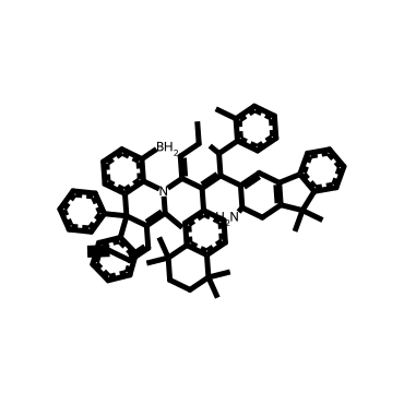 Bc1cccc2c1N(C(=C/CC)/C(=C(/C1=CC3=C(CC1N)C(C)(C)c1ccccc13)C(C)c1ccccc1C)c1ccc3c(c1)C(C)(C)CCC3(C)C)C(C)=C(/C=C\C#C)C2(c1ccccc1)c1ccccc1